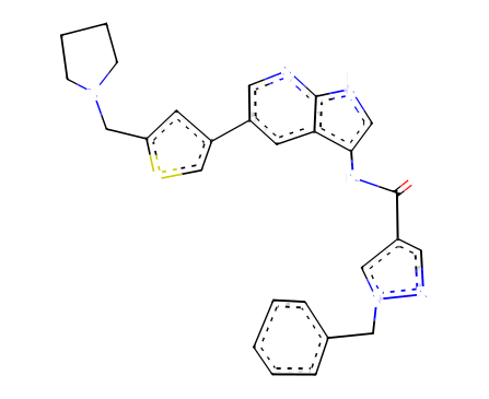 O=C(Nc1c[nH]c2ncc(-c3csc(CN4CCCC4)c3)cc12)c1cnn(Cc2ccccc2)c1